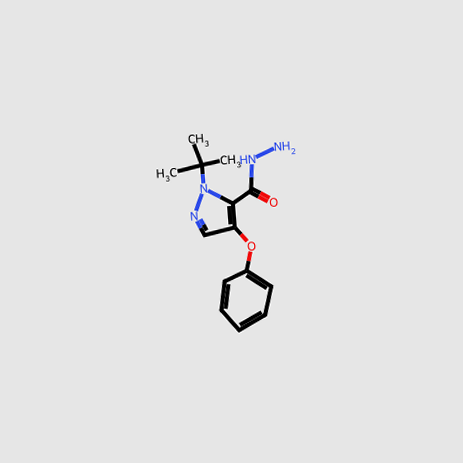 CC(C)(C)n1ncc(Oc2ccccc2)c1C(=O)NN